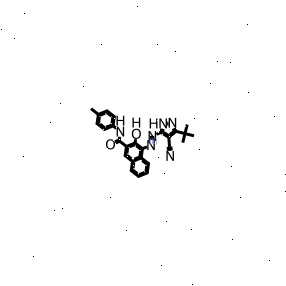 Cc1ccc(NC(=O)c2cc3ccccc3c(/N=N/c3[nH]nc(C(C)(C)C)c3C#N)c2O)cc1